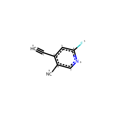 C#Cc1cc(F)ncc1C#N